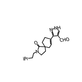 CC(C)CCN1CCC2(CC=C(c3n[nH]cc3C=O)CC2)C1=O